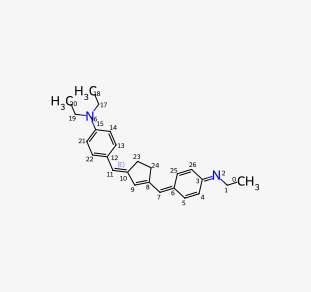 CCN=C1C=CC(=CC2=C/C(=C/c3ccc(N(CC)CC)cc3)CC2)C=C1